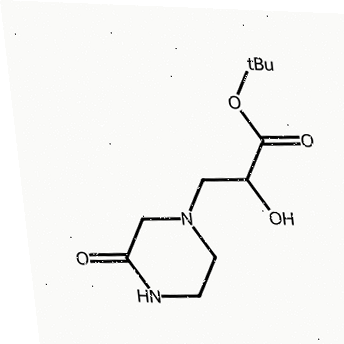 CC(C)(C)OC(=O)C(O)CN1CCNC(=O)C1